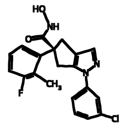 Cc1c(F)cccc1[C@]1(C(=O)NO)Cc2cnn(-c3cccc(Cl)c3)c2C1